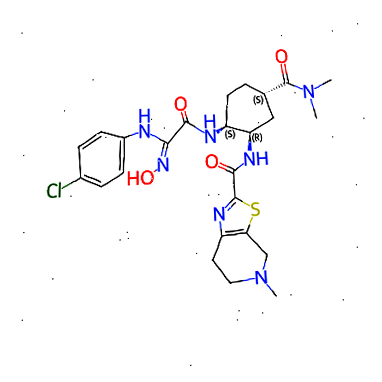 CN1CCc2nc(C(=O)N[C@@H]3C[C@@H](C(=O)N(C)C)CC[C@@H]3NC(=O)C(=NO)Nc3ccc(Cl)cc3)sc2C1